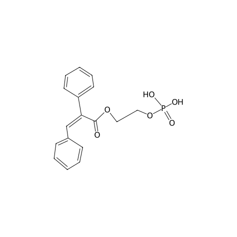 O=C(OCCOP(=O)(O)O)C(=Cc1ccccc1)c1ccccc1